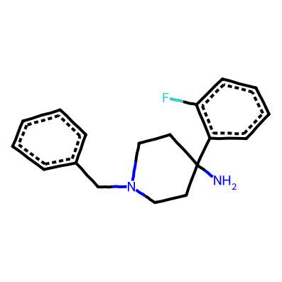 NC1(c2ccccc2F)CCN(Cc2ccccc2)CC1